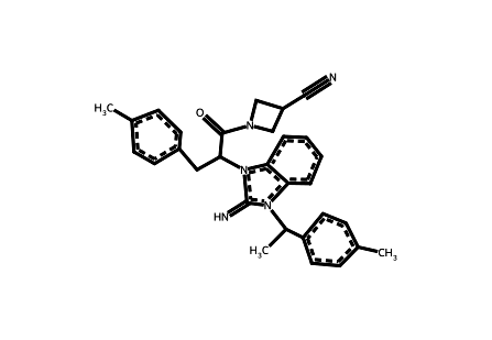 Cc1ccc(CC(C(=O)N2CC(C#N)C2)n2c(=N)n(C(C)c3ccc(C)cc3)c3ccccc32)cc1